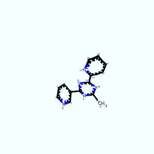 Cc1nc(-c2cccnc2)nc(-c2ccccn2)n1